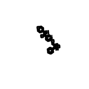 O=C(NC1CCOCC1)c1ccc(OCc2conc2-c2ccccc2)nc1